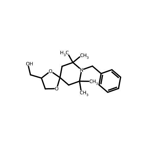 CC1(C)CC2(CC(C)(C)N1Cc1ccccc1)OCC(CO)O2